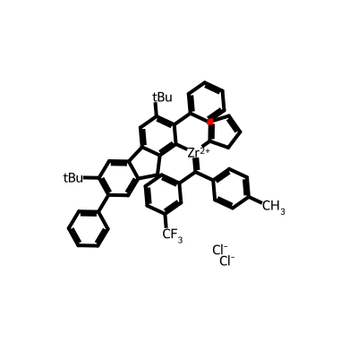 Cc1ccc(/[C](c2cccc(C(F)(F)F)c2)=[Zr+2](\[C]2=CC=CC2)[c]2c3c(cc(C(C)(C)C)c2-c2ccccc2)-c2cc(C(C)(C)C)c(-c4ccccc4)cc2C3)cc1.[Cl-].[Cl-]